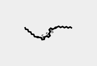 CCCCCCCCC#Cc1ccc(-c2ccc(-c3ccc(C#CCCCCCCCC)s3)s2)s1